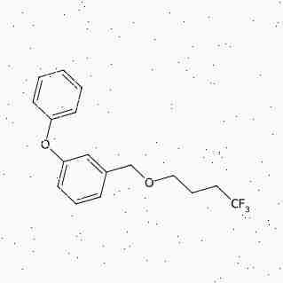 FC(F)(F)CCCOCc1cccc(Oc2ccccc2)c1